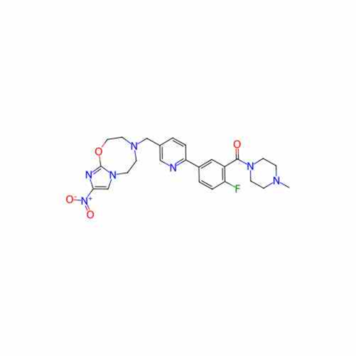 CN1CCN(C(=O)c2cc(-c3ccc(CN4CCOc5nc([N+](=O)[O-])cn5CC4)cn3)ccc2F)CC1